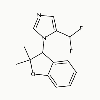 CC1(C)Oc2ccccc2C1n1cncc1C(F)F